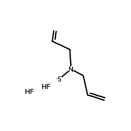 C=CCN([S])CC=C.F.F